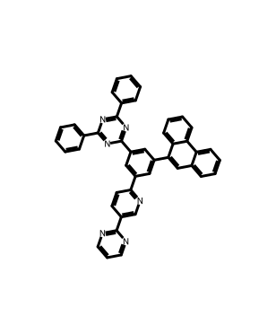 c1ccc(-c2nc(-c3ccccc3)nc(-c3cc(-c4ccc(-c5ncccn5)cn4)cc(-c4cc5ccccc5c5ccccc45)c3)n2)cc1